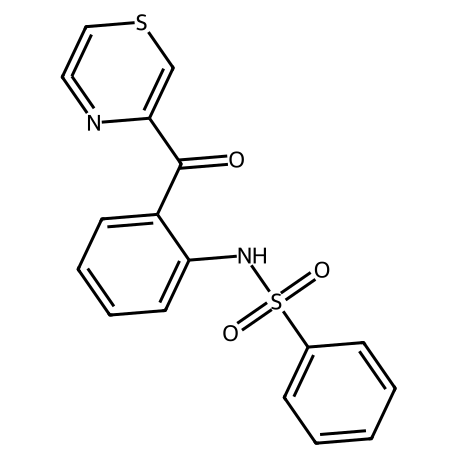 O=C(C1=CSC=C=N1)c1ccccc1NS(=O)(=O)c1ccccc1